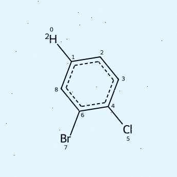 [2H]c1ccc(Cl)c(Br)c1